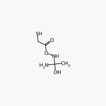 CC(N)(O)NOC(=O)CS